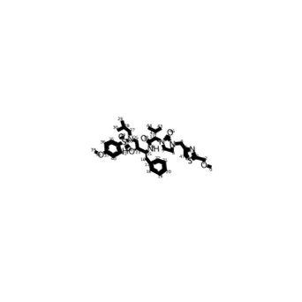 COCc1nc(CN2CCN([C@H](C(=O)N[C@@H](Cc3ccccc3)[C@@H](O)CN(CC(C)C)S(=O)(=O)c3ccc(OC)cc3)C(C)C)C2=O)cs1